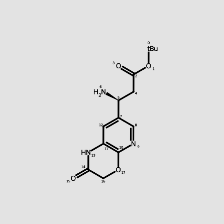 CC(C)(C)OC(=O)C[C@H](N)c1cnc2c(c1)NC(=O)CO2